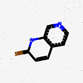 S=C1C=Cc2ccncc2[N]1